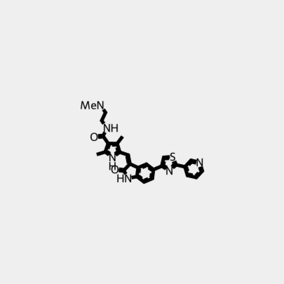 CNCCNC(=O)c1c(C)[nH]c(/C=C2\C(=O)Nc3ccc(-c4csc(-c5cccnc5)n4)cc32)c1C